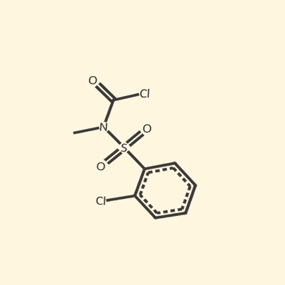 CN(C(=O)Cl)S(=O)(=O)c1ccccc1Cl